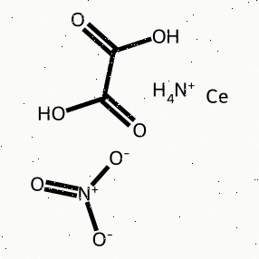 O=C(O)C(=O)O.O=[N+]([O-])[O-].[Ce].[NH4+]